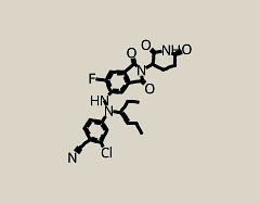 CC/C=C(\CC)N(Nc1cc2c(cc1F)C(=O)N(C1CCC(=O)NC1=O)C2=O)c1ccc(C#N)c(Cl)c1